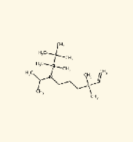 C=C[Si](C)(C)CCCN(C(C)C)[Si](C)(C)C(C)(C)C